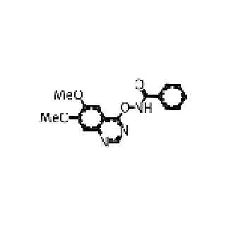 COc1cc2ncnc(ONC(=O)c3ccccc3)c2cc1OC